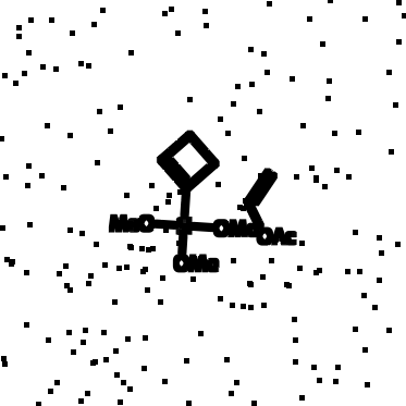 C=COC(C)=O.CO[Si](OC)(OC)C1=CCC1